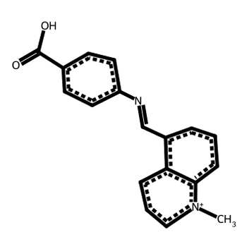 C[n+]1cccc2c(C=Nc3ccc(C(=O)O)cc3)cccc21